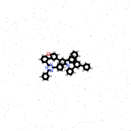 c1ccc(-c2cc(-c3ccccc3)cc(-c3ccccc3-n3c4ccccc4c4cc(-c5ccc6oc7cccc(-c8nc(-c9ccccc9)nc(-c9ccccc9)n8)c7c6c5)ccc43)c2)cc1